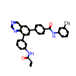 C=CC(=O)Nc1cccc(-c2cc(-c3ccc(C(=O)Nc4cccc(C#N)c4)cc3)cc3cncnc23)c1